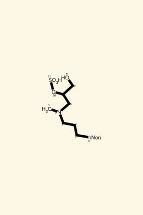 CCCCCCCCCCCCN(C)CC(CO)OS(=O)(=O)O